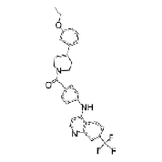 CCOc1cccc(C2=CCN(C(=O)c3ccc(Nc4ccnc5cc(C(F)(F)F)ccc45)cc3)CC2)c1